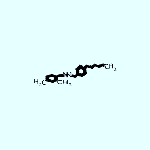 C=CCCCCc1ccc(C=NN=Cc2ccc(C)cc2C)cc1